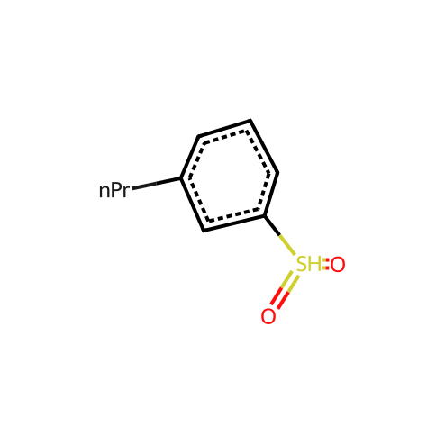 [CH2]CCc1cccc([SH](=O)=O)c1